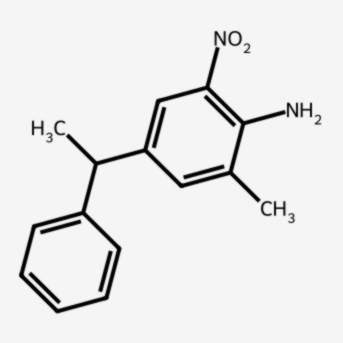 Cc1cc(C(C)c2ccccc2)cc([N+](=O)[O-])c1N